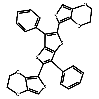 c1ccc(-c2c(-c3scc4c3OCCO4)sc3c(-c4ccccc4)c(-c4scc5c4OCCO5)sc23)cc1